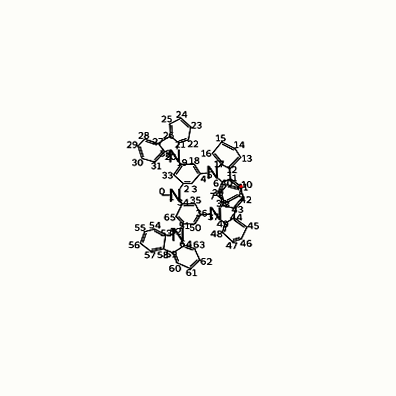 CN(c1cc(-n2c3ccccc3c3ccccc32)cc(-n2c3ccccc3c3ccccc32)c1)c1cc(-n2c3ccccc3c3ccccc32)cc(-n2c3ccccc3c3ccccc32)c1